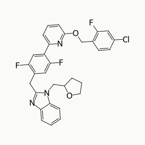 Fc1cc(Cl)ccc1COc1cccc(-c2cc(F)c(Cc3nc4ccccc4n3CC3CCCO3)cc2F)n1